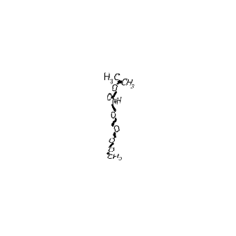 CCOCCOCCOCCOCCNC(=O)COC(C)C